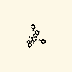 O=C(NC(C(=O)NCc1ccccc1C(=O)c1ccccn1)n1nnc2ccccc21)OCc1ccccc1